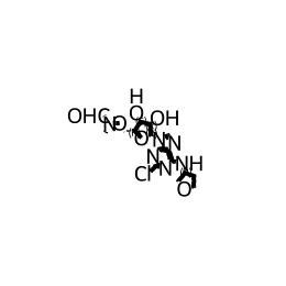 CN(C=O)OC[C@H]1O[C@@H](n2cnc3c(N[C@@H]4CCOC4)nc(Cl)nc32)[C@H](O)[C@@H]1O